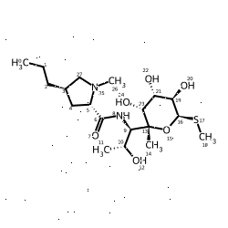 CCC[C@@H]1C[C@@H](C(=O)N[C@H]([C@@H](C)O)[C@@]2(C)O[C@H](SC)[C@H](O)[C@@H](O)[C@H]2O)N(C)C1